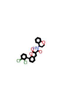 O=C(NC1CCOc2ccccc21)c1cc2cccc(-c3cccc(Cl)c3Cl)c2oc1=O